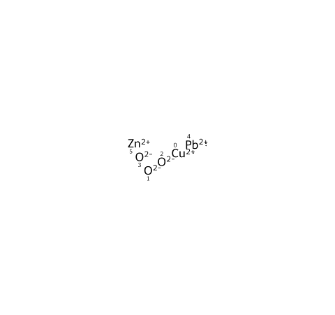 [Cu+2].[O-2].[O-2].[O-2].[Pb+2].[Zn+2]